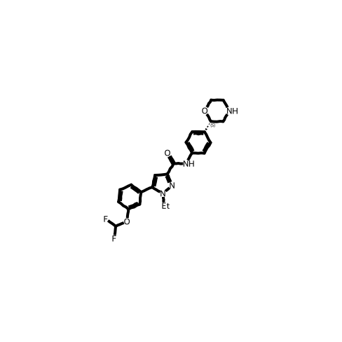 CCn1nc(C(=O)Nc2ccc([C@H]3CNCCO3)cc2)cc1-c1cccc(OC(F)F)c1